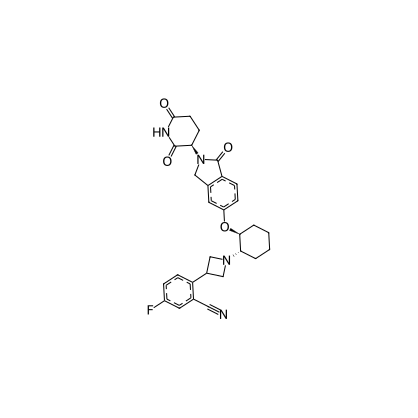 N#Cc1cc(F)ccc1C1CN([C@H]2CCCC[C@@H]2Oc2ccc3c(c2)CN([C@@H]2CCC(=O)NC2=O)C3=O)C1